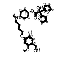 COc1cc(OCCCCN(C)[C@H]2CC[C@H](OC(=O)C(O)(c3cccs3)c3cccs3)CC2)c(Cl)cc1CO